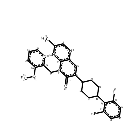 Cc1cnc2cc(C3CCC(c4c(F)cccc4F)CC3)c(=O)n(Cc3ncccc3OC(F)(F)F)c2n1